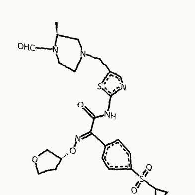 C[C@H]1CN(Cc2cnc(NC(=O)/C(=N/O[C@@H]3CCOC3)c3ccc(S(=O)(=O)C4CC4)cc3)s2)CCN1C=O